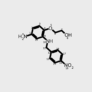 Nc1ccc(OCCO)c(NCc2ccc([N+](=O)[O-])cc2)c1